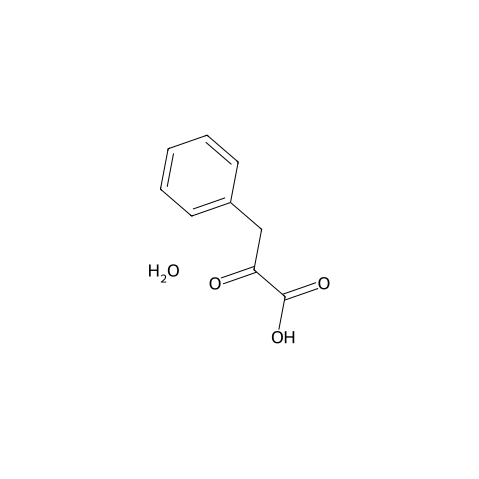 O.O=C(O)C(=O)Cc1ccccc1